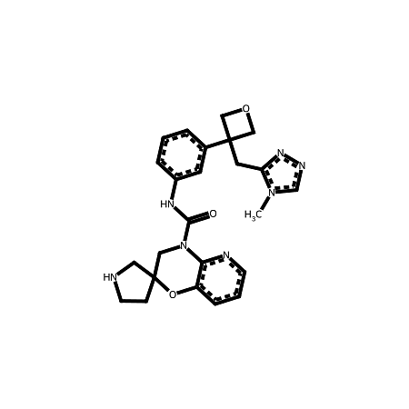 Cn1cnnc1CC1(c2cccc(NC(=O)N3CC4(CCNC4)Oc4cccnc43)c2)COC1